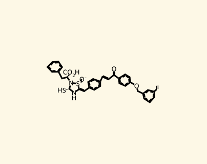 O=C(/C=C/c1ccc(/C=C2/N[C@H](S)N([C@@H](Cc3ccccc3)C(=O)O)[S+]2[O-])cc1)c1ccc(OCc2cccc(F)c2)cc1